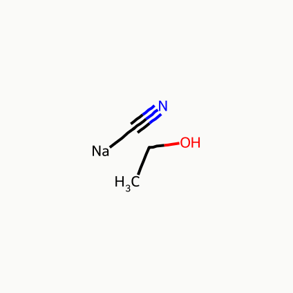 CCO.N#[C][Na]